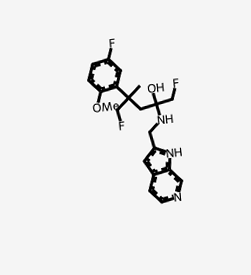 COc1ccc(F)cc1C(C)(CF)CC(O)(CF)NCc1cc2ccncc2[nH]1